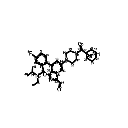 CCN(C(=O)c1cc(F)ccc1-c1cc(N2CCN(C(=O)C3NC4CCC3CC4)CC2)cn2c(C=O)ncc12)C(C)C